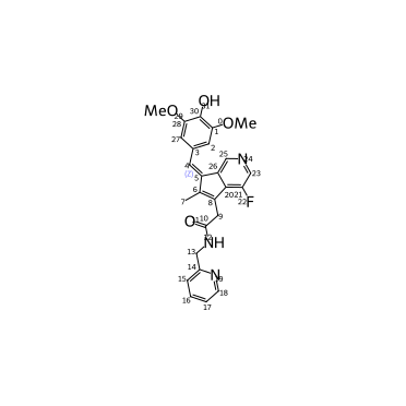 COc1cc(/C=C2/C(C)=C(CC(=O)NCc3ccccn3)c3c(F)cncc32)cc(OC)c1O